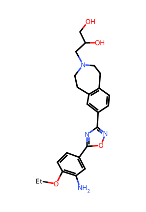 CCOc1ccc(-c2nc(-c3ccc4c(c3)CCN(CC(O)CO)CC4)no2)cc1N